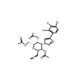 C=C=C[C@H]1O[C@H](COC(C)=O)[C@H](OC(C)=O)[C@H](n2cc(-c3ccc(Cl)c(F)c3F)nn2)[C@H]1OC(C)=O